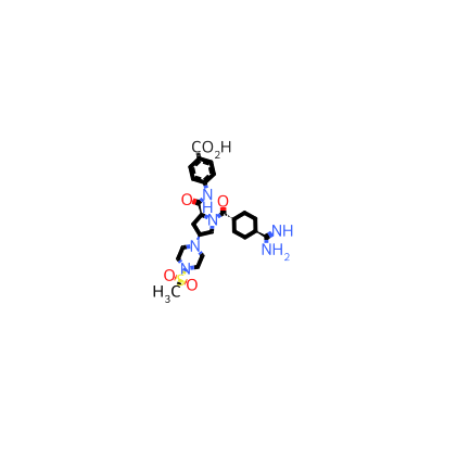 CS(=O)(=O)N1CCN([C@H]2C[C@@H](C(=O)Nc3ccc(C(=O)O)cc3)N(C(=O)[C@H]3CC[C@H](C(=N)N)CC3)C2)CC1